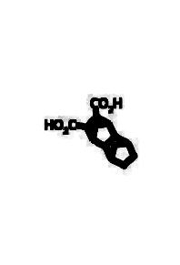 O=C(O)C1=C(C(=O)O)C2CC1C1C3CCC(C3)C21